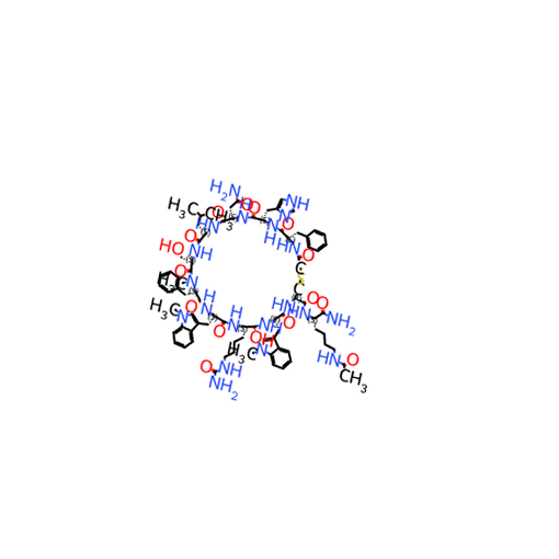 CC(=O)NCCCC[C@H](NC(=O)[C@@H]1CSCC(=O)N[C@@H](Cc2ccccc2)C(=O)N[C@@H](Cc2c[nH]cn2)C(=O)N[C@@H](CC(N)=O)C(=O)N[C@@H](CC(C)C)C(=O)N[C@@H](CO)C(=O)N(C)[C@@H](Cc2ccccc2)C(=O)N[C@@H](Cc2cn(C)c3ccccc23)C(=O)N[C@@H](CCCCNC(N)=O)C(O)N[C@@H](Cc2cn(C)c3ccccc23)C(=O)N1)C(N)=O